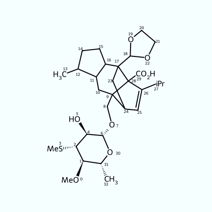 CO[C@H]1[C@H](SC)[C@@H](O)[C@H](OCC23CC4C(C)CCC4C4(C5OCCO5)CC2C=C(C(C)C)C34C(=O)O)O[C@@H]1C